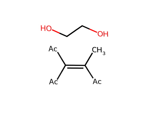 CC(=O)C(C)=C(C(C)=O)C(C)=O.OCCO